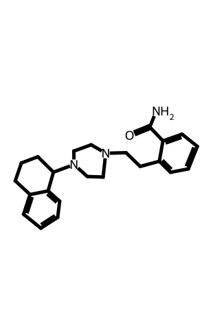 NC(=O)c1ccccc1CCN1CCN(C2CCCc3ccccc32)CC1